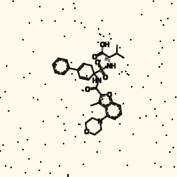 Cc1c(C(=O)NC2(S(=O)(=O)N[C@H](C(=O)O)C(C)C)C=CC(c3ccccc3)=CC2)oc2cccc(N3CCOCC3)c12